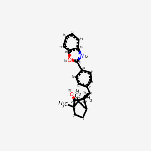 CC12CCC(C(=Cc3ccc(-c4nc5ccccc5o4)cc3)C1=O)C2(C)C